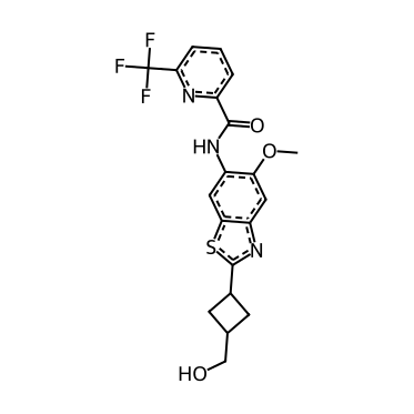 COc1cc2nc(C3CC(CO)C3)sc2cc1NC(=O)c1cccc(C(F)(F)F)n1